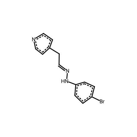 Brc1ccc(NN=CCc2ccncc2)cc1